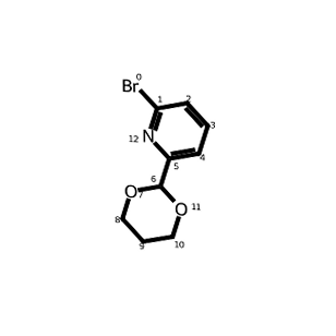 Brc1cccc(C2OCCCO2)n1